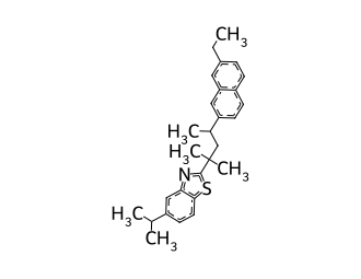 CCc1ccc2ccc(C(C)CC(C)(C)c3nc4cc(C(C)C)ccc4s3)cc2c1